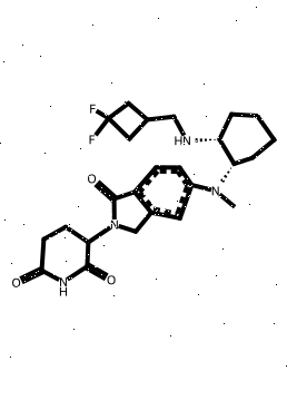 CN(c1ccc2c(c1)CN(C1CCC(=O)NC1=O)C2=O)[C@H]1CCCC[C@H]1NCC1CC(F)(F)C1